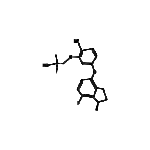 C[C@@H]1CCc2c(Oc3ccc(C#N)c(OCC(C)(C)O)c3)ccc(F)c21